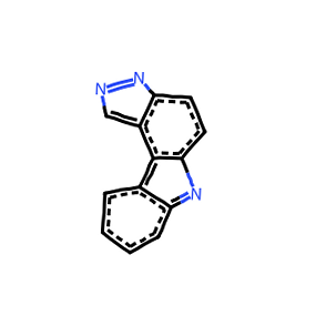 C1=c2c(ccc3c2=c2ccccc2=N3)N=N1